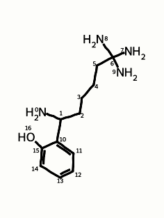 NC(CCCCC(N)(N)N)c1ccccc1O